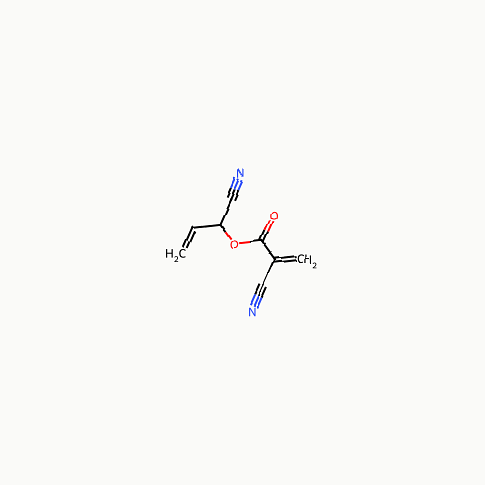 C=CC(C#N)OC(=O)C(=C)C#N